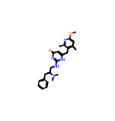 COc1cc(C)c(Cc2cc(=O)nc(NCC(Cc3ccccc3)N(C)C)[nH]2)c(C)n1